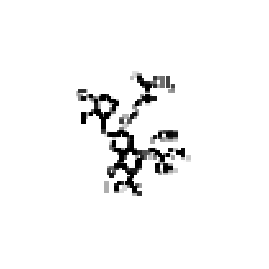 CC(=O)NCCOc1cc2c(cc1Cc1cccc(Cl)c1F)c(=O)c(C(=O)O)cn2[C@H](CO)C(C)C